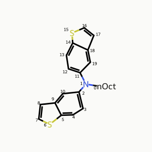 CCCCCCCCN(c1ccc2sccc2c1)c1ccc2sccc2c1